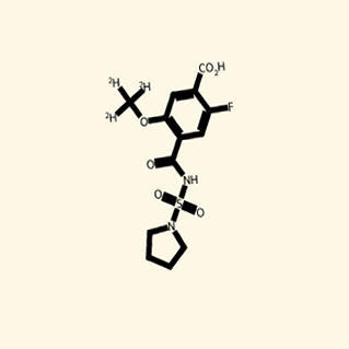 [2H]C([2H])([2H])Oc1cc(C(=O)O)c(F)cc1C(=O)NS(=O)(=O)N1CCCC1